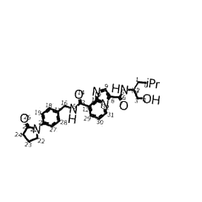 CC(C)C[C@@H](CO)NC(=O)c1cnc2c(C(=O)NCc3ccc(N4CCCC4=O)cc3)cccn12